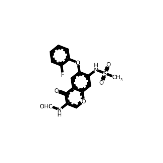 CS(=O)(=O)Nc1cc2occ(NC=O)c(=O)c2cc1Oc1ccccc1F